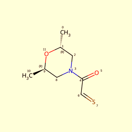 C[C@@H]1CN(C(=O)C=S)C[C@@H](C)O1